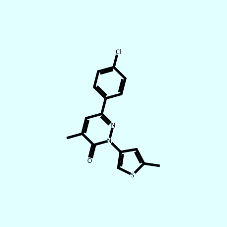 Cc1cc(-n2nc(-c3ccc(Cl)cc3)cc(C)c2=O)cs1